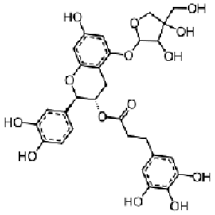 O=C(CCc1cc(O)c(O)c(O)c1)O[C@H]1Cc2c(OC3OCC(O)(CO)C3O)cc(O)cc2O[C@@H]1c1ccc(O)c(O)c1